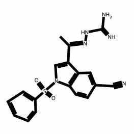 CC(=NNC(=N)N)c1cn(S(=O)(=O)c2ccccc2)c2ccc(C#N)cc12